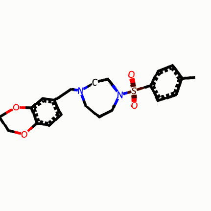 Cc1ccc(S(=O)(=O)N2CCCN(Cc3ccc4c(c3)OCCO4)CC2)cc1